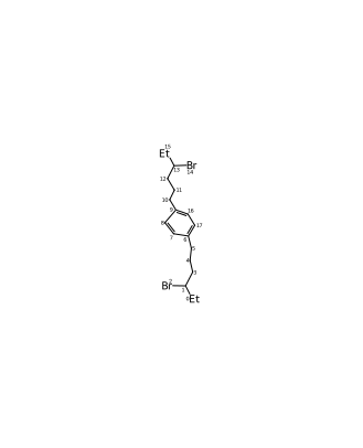 CCC(Br)CCCc1ccc(CCCC(Br)CC)cc1